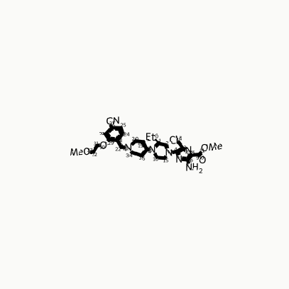 CC[C@H]1CN(c2nc(N)c(C(=O)OC)nc2Cl)CCN1C1CCN(Cc2ccc(C#N)cc2OCCOC)CC1